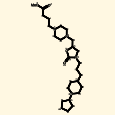 COC(=O)CCCN1CCN(CC2CN(CCCC3CCN(C4CCCC4)CC3)C(=O)O2)CC1